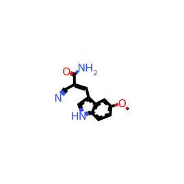 COc1ccc2[nH]cc(/C=C(\C#N)C(N)=O)c2c1